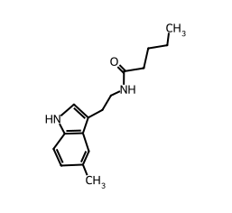 CCCCC(=O)NCCc1c[nH]c2ccc(C)cc12